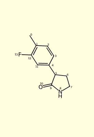 Cc1ccc(C2CCNC2=O)cc1F